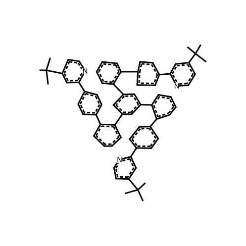 CC(C)(C)c1ccnc(-c2ccc(-c3ccccc3-c3cc(-c4ccccc4-c4ccc(-c5cc(C(C)(C)C)ccn5)cc4)cc(-c4ccccc4-c4ccc(-c5cc(C(C)(C)C)ccn5)cc4)c3)cc2)c1